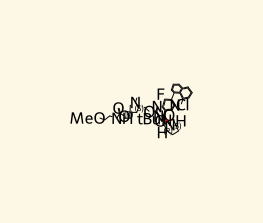 COCCNC(=O)O[C@@H]1C[C@@H](COc2nc(N3C[C@H]4CC[C@@H](C3)N4C(=O)OC(C)(C)C)c3cnc(-c4cccc5cccc(Cl)c45)c(F)c3n2)N(C)C1